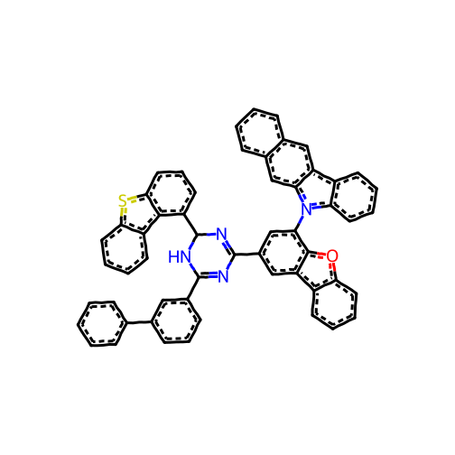 c1ccc(-c2cccc(C3=NC(c4cc(-n5c6ccccc6c6cc7ccccc7cc65)c5oc6ccccc6c5c4)=NC(c4cccc5sc6ccccc6c45)N3)c2)cc1